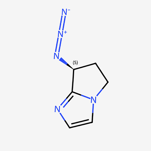 [N-]=[N+]=N[C@H]1CCn2ccnc21